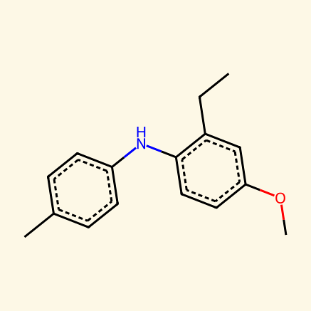 CCc1cc(OC)ccc1Nc1ccc(C)cc1